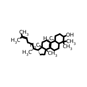 CC(C)=CCC[C@@H](C)[C@H]1CC[C@@]2(C)C3=C(CC[C@@]12C)[C@@]1(C)CCC(O)C(C)(C)C1CC3